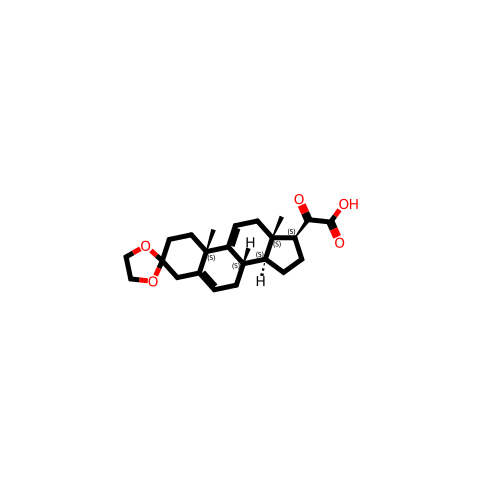 C[C@]12CCC3(CC1=CC[C@@H]1C2=CC[C@]2(C)[C@@H](C(=O)C(=O)O)CC[C@@H]12)OCCO3